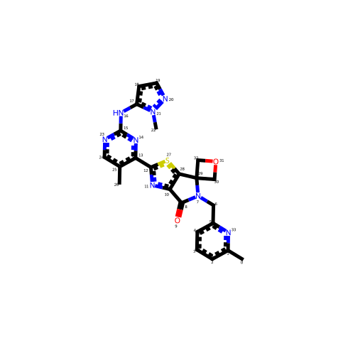 Cc1cccc(CN2C(=O)c3nc(-c4nc(Nc5ccnn5C)ncc4C)sc3C23COC3)n1